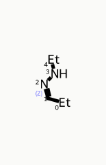 CC/C=N\NCC